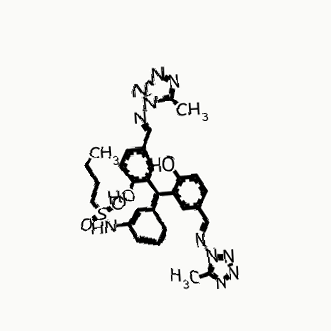 CCCCS(=O)(=O)NC1=CC(=C(c2cc(C=Nn3nnnc3C)ccc2O)c2cc(C=Nn3nnnc3C)ccc2O)CC=C1